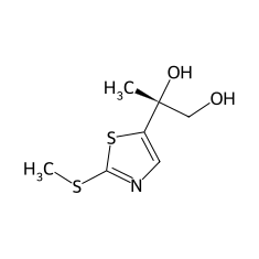 CSc1ncc([C@](C)(O)CO)s1